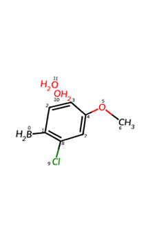 Bc1ccc(OC)cc1Cl.O.O